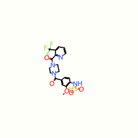 COc1cc(C(=O)N2CCN(C(=O)c3ncccc3C(F)(F)F)CC2)ccc1N[SH](=O)=O